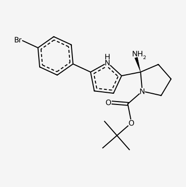 CC(C)(C)OC(=O)N1CCC[C@@]1(N)c1ccc(-c2ccc(Br)cc2)[nH]1